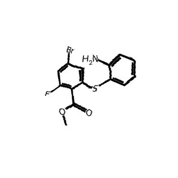 COC(=O)c1c(F)cc(Br)cc1Sc1ccccc1N